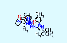 Cc1ccc(-n2nc(C(C)(C)C)cc2NC(=O)Nc2cccc(CC3CC4CCC(C3)N4C(=O)c3c(C)n[nH]c3C)c2)cc1